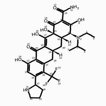 CCN(C(C)C)[C@@H]1C(O)=C(C(N)=O)C(=O)[C@@]2(O)C(O)=C3C(=O)c4c(O)cc(C5CCCN5)c(C(F)(F)F)c4C[C@H]3C[C@@H]12